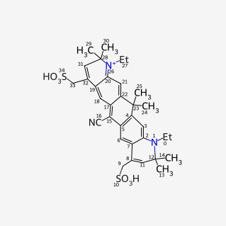 CCN1c2cc3c(cc2C(CS(=O)(=O)O)=CC1(C)C)C(C#N)=c1cc2c(cc1C3(C)C)=[N+](CC)C(C)(C)C=C2CS(=O)(=O)O